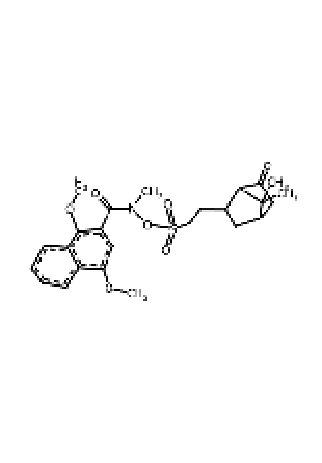 COc1cc(C(=O)N(C)OS(=O)(=O)CCC2CC3CC(=O)C2C3(C)C)c(OC)c2ccccc12